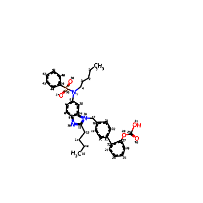 CCCCCN(c1ccc2nc(CCCC)n(Cc3ccc(-c4ccccc4OC(=O)O)cc3)c2c1)S(=O)(=O)c1ccccc1